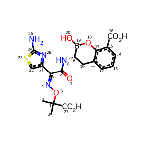 CC(C)(O/N=C(\C(=O)N[C@H]1Cc2cccc(C(=O)O)c2OB1O)c1csc(N)n1)C(=O)O